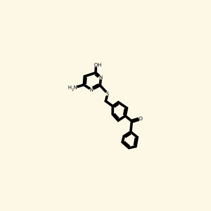 Nc1cc(O)nc(SCc2ccc(C(=O)c3ccccc3)cc2)n1